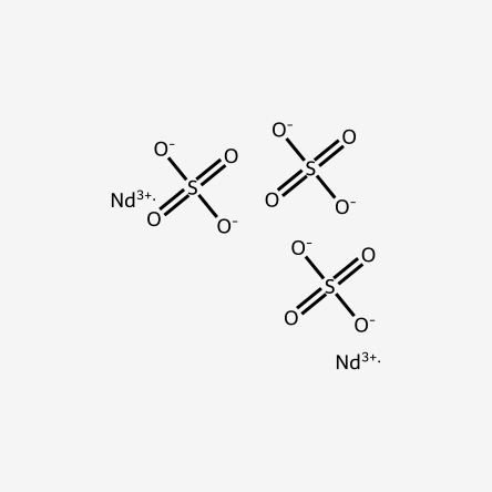 O=S(=O)([O-])[O-].O=S(=O)([O-])[O-].O=S(=O)([O-])[O-].[Nd+3].[Nd+3]